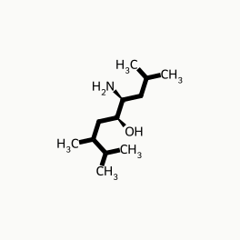 CC(C)C[C@H](N)[C@@H](O)CC(C)C(C)C